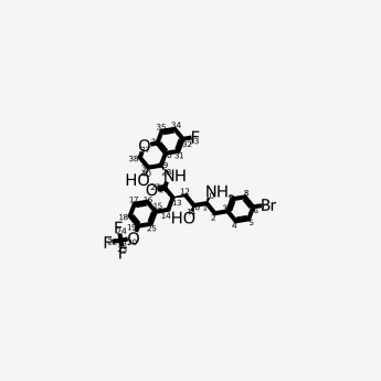 N[C@@H](Cc1ccc(Br)cc1)[C@@H](O)C[C@@H](Cc1cccc(OC(F)(F)F)c1)C(=O)N[C@H]1c2cc(F)ccc2OC[C@H]1O